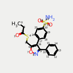 CCC(=O)SCc1onc(-c2ccccc2)c1-c1ccc(S(N)(=O)=O)cc1